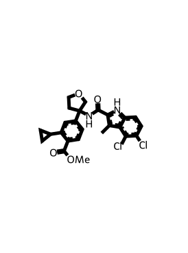 COC(=O)c1ccc(C2(NC(=O)c3[nH]c4ccc(Cl)c(Cl)c4c3C)CCOC2)cc1C1CC1